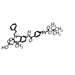 CN1c2ccc(NC(=O)c3ccc(CNC(=O)OC(C)(C)C)cc3)cc2CN(CCc2ccccc2)C(=O)[C@H]1CC(=O)O